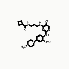 COc1cc(N2CCN(C)CC2)ccc1Nc1ncc(C(F)(F)F)c(NCCCNC(=O)C2CCC2)n1